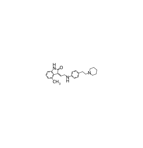 Cc1cccc2c1/C(=C/CNc1ccc(CCN3CCCCC3)cc1)C(=O)N2